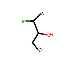 CCCCC(O)C(Br)CC